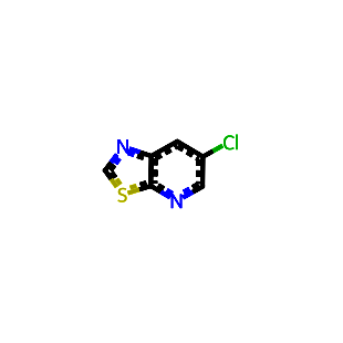 Clc1cnc2scnc2c1